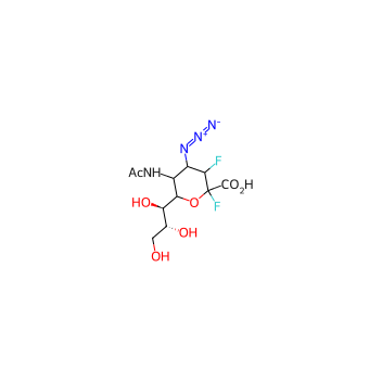 CC(=O)NC1C(N=[N+]=[N-])C(F)C(F)(C(=O)O)OC1[C@H](O)[C@H](O)CO